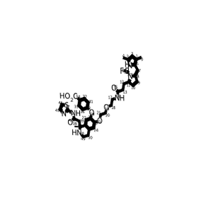 Cc1cc(C)n2c1C=C1C=CC(CCC(=O)NCCOCCOc3cc4c(cc3Oc3ccc(C(=O)O)cc3)[C@@](C)(CC(=O)Nc3nccs3)NCC4)=[N+]1[BH-]2F